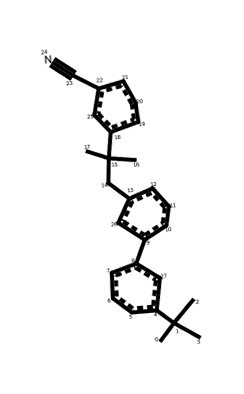 CC(C)(C)c1cccc(-c2cccc(CC(C)(C)c3cccc(C#N)c3)c2)c1